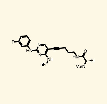 CCCNc1nc(Nc2cccc(F)c2)ncc1C#CCCCNC(=O)[C@H](CC)NC